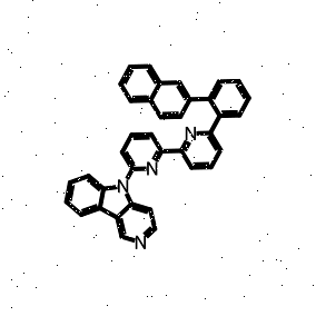 c1cc(-c2cccc(-n3c4ccccc4c4cnccc43)n2)nc(-c2ccccc2-c2ccc3ccccc3c2)c1